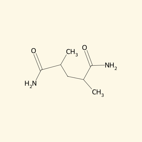 CC(CC(C)C(N)=O)C(N)=O